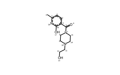 Cc1ccc(C(=O)N2CCN(CCO)CC2)c(O)n1